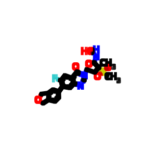 C[C@@](CCn1cnc2cc(-c3ccc4c(c3)COC4)c(F)cc2c1=O)(C(=O)NO)S(C)(=O)=O